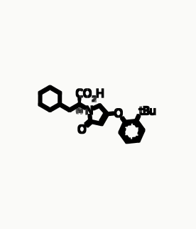 CC(C)(C)c1ccccc1OC1=CC(=O)N([C@@H](CC2CCCCC2)C(=O)O)C1